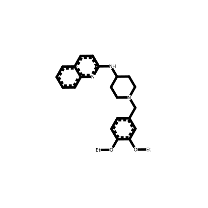 CCOc1ccc(CN2CCC(Nc3ccc4ccccc4n3)CC2)cc1OCC